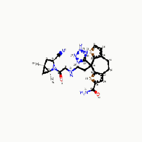 N#C[C@@H]1C[C@@H]2C[C@@H]2N1C(=O)CNCCC1(c2nn[nH]n2)c2sccc2CCc2cc(C(N)=O)sc21